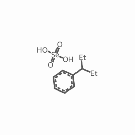 CCC(CC)c1ccccc1.O=[Se](=O)(O)O